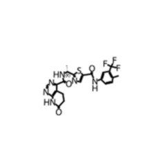 Cc1ccc(NC(=O)c2cnc([C@@H](C)NC(=O)c3ncnc4c3CCC(=O)N4)s2)cc1C(F)(F)F